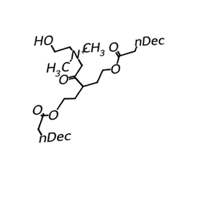 CCCCCCCCCCCC(=O)OCCC(CCOC(=O)CCCCCCCCCCC)C(=O)C[N+](C)(C)CCO